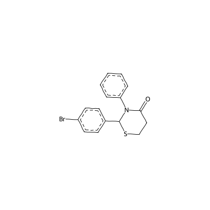 O=C1CCSC(c2ccc(Br)cc2)N1c1ccccc1